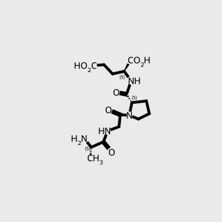 C[C@H](N)C(=O)NCC(=O)N1CCC[C@H]1C(=O)N[C@@H](CCC(=O)O)C(=O)O